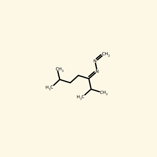 C=N/N=C(\CCC(C)C)C(C)C